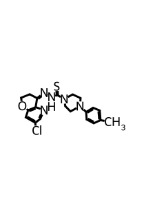 Cc1ccc(N2CCN(C(=S)N/N=C3/CCOc4cc(Cl)cnc43)CC2)cc1